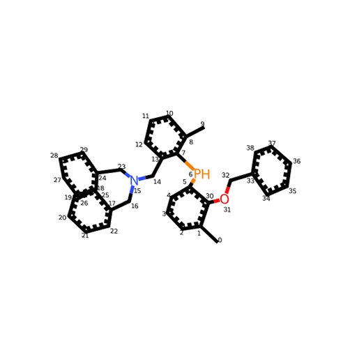 Cc1cccc(Pc2c(C)cccc2CN(Cc2ccccc2)Cc2ccccc2)c1OCc1ccccc1